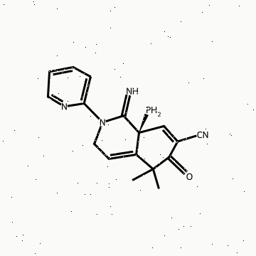 CC1(C)C(=O)C(C#N)=C[C@@]2(P)C(=N)N(c3ccccn3)CC=C12